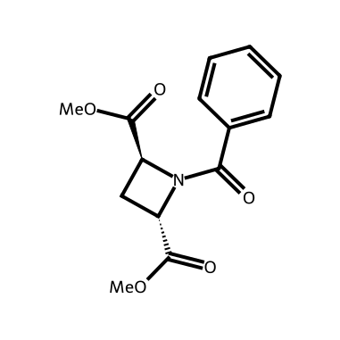 COC(=O)[C@@H]1C[C@@H](C(=O)OC)N1C(=O)c1ccccc1